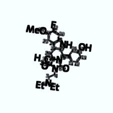 CCN(CC)CCN1C(=O)N2[C@H](c3cccc(O)c3)c3[nH]c4cc(F)c(OC)cc4c3C[C@@]2(C)C1=O